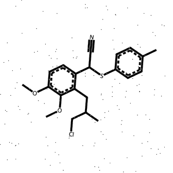 COc1ccc(C(C#N)Sc2ccc(C)cc2)c(CC(C)CCl)c1OC